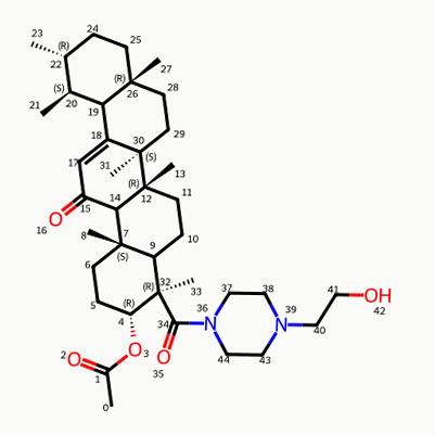 CC(=O)O[C@@H]1CC[C@@]2(C)C(CC[C@]3(C)C2C(=O)C=C2C4[C@@H](C)[C@H](C)CC[C@]4(C)CC[C@]23C)[C@@]1(C)C(=O)N1CCN(CCO)CC1